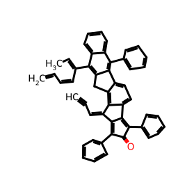 C#C/C=C1/C2=C(c3ccccc3)C(=O)C(c3ccccc3)=C2c2ccc3c(c21)Cc1c-3c(-c2ccccc2)c2ccccc2c1C(/C=C\C=C)=C/C